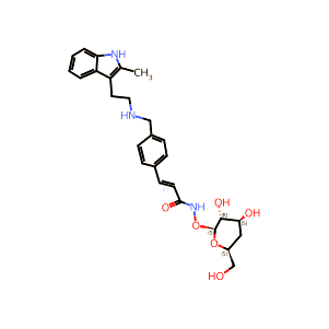 Cc1[nH]c2ccccc2c1CCNCc1ccc(/C=C/C(=O)NO[C@@H]2O[C@H](CO)C[C@H](O)[C@H]2O)cc1